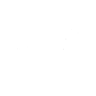 CC(=[Si]=[Si]=[SiH2])C1CCC2OC2C1